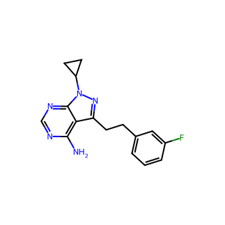 Nc1ncnc2c1c(CCc1cccc(F)c1)nn2C1CC1